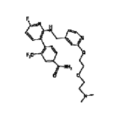 CN(C)CCOCCOc1cc(CNc2nc(F)ccc2-c2ccc(C(N)=O)cc2C(F)(F)F)ccn1